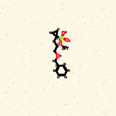 CC(C)OS(=O)(=O)C1(C[CH]COCc2ccccc2)CC1